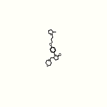 CC1CCCN1CCCOc1ccc(N2C(=O)CCC2CN2CCSCC2)cc1